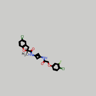 C[C@]1(C(=O)NC23CC(NC(=O)COc4ccc(Cl)c(F)c4)(C2)C3)Cc2cc(Cl)ccc2O1